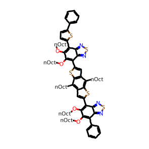 CCCCCCCCOc1c(OCCCCCCCC)c(-c2cc3c(CCCCCCCC)c4sc(-c5c(OCCCCCCCC)c(OCCCCCCCC)c(-c6ccc(-c7ccccc7)s6)c6nsnc56)cc4c(CCCCCCCC)c3s2)c2nsnc2c1-c1ccccc1